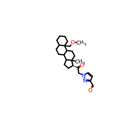 COCC12CCCCC1CCC1C2CCC2(C)C1CC[C@@H]2C(=O)Cn1ccc(C=O)n1